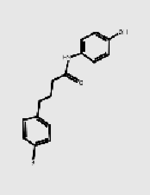 O=C(CCCc1ccc(Br)cc1)Nc1ccc(O)cc1